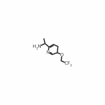 CC(N)C1=CCC(OCC(F)(F)F)C=N1